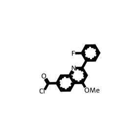 COc1cc(-c2ccccc2F)nc2cc(C(=O)Cl)ccc12